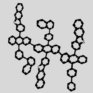 c1ccc(-c2ccc(-c3c4ccccc4c(-c4ccc5c(c4)sc4cc6ccccc6cc45)c4cc(-c5ccc6c(-c7ccc(-c8cccc9ccccc89)cc7)c7cc(-c8ccc9c(-c%10ccc%11c(c%10)sc%10cc%12ccccc%12cc%10%11)c%10ccccc%10c(-c%10cccc(-c%11cccc%12ccccc%11%12)c%10)c9c8)ccc7c(-c7ccc8c(c7)sc7cc9ccccc9cc78)c6c5)ccc34)cc2)cc1